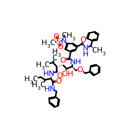 CCC(C)[C@H](NC(=O)[C@@H](C[C@H](O)[C@H](COCc1ccccc1)NC(=O)c1cc(C(=O)N[C@H](C)c2ccccc2)cc(N(C)S(C)(=O)=O)c1)C(C)C)C(=O)NCc1ccccc1